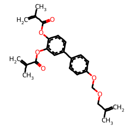 C=C(C)COCOc1ccc(-c2ccc(OC(=O)C(=C)C)c(OC(=O)C(=C)C)c2)cc1